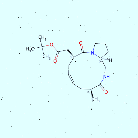 C[C@H]1CC=CC[C@@H](CC(=O)OC(C)(C)C)C(=O)N2CCC[C@H]2CNC1=O